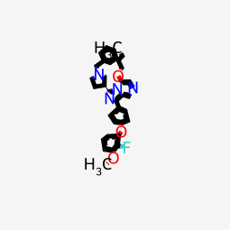 CCCCOc1cncc2c(-c3ccc(Oc4cccc(OC)c4F)cc3)nc([C@@H]3CCN(Cc4ccccc4)C3)n12